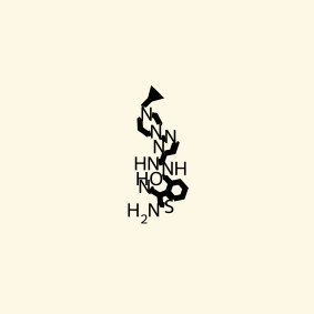 N#CC1C2=C(CCCC2C(O)NC(=N)c2ccnc(N3CCCN(CC4CC4)CC3)n2)SC1N